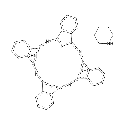 C1CCNCC1.c1ccc2c(c1)-c1nc-2nc2[nH]c(nc3nc(nc4[nH]c(n1)c1ccccc41)-c1ccccc1-3)c1ccccc21